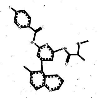 CNC(C)C(=O)Nc1cc(-c2c(C)ccc3ncccc23)cc(NC(=O)c2ccc(F)cn2)n1